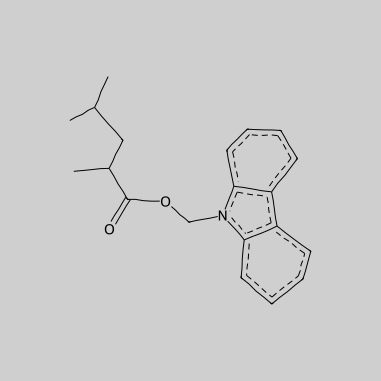 CC(C)CC(C)C(=O)OCn1c2ccccc2c2ccccc21